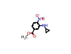 COC(=O)c1ccc([N+](=O)[O-])c(NC2CC2)c1